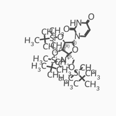 [C-]#[N+][C@]1(CO[Si](C)(C)C(C)(C)C)O[C@@H](n2ccc(=O)[nH]c2=O)[C@H](O[Si](C)(C)C(C)(C)C)[C@@H]1O[Si](C)(C)C(C)(C)C